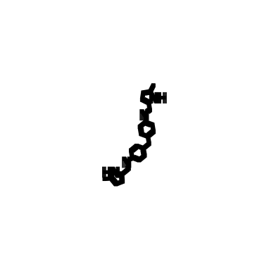 Cc1ccc(/C=N/c2ccc(Cc3ccc(/N=C/c4ccc(C)[nH]4)cc3)cc2)[nH]1